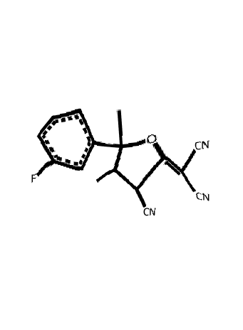 CC1C(C#N)C(=C(C#N)C#N)OC1(C)c1cccc(F)c1